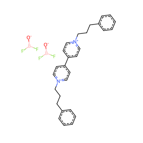 [O-]B(F)F.[O-]B(F)F.c1ccc(CCC[n+]2ccc(-c3cc[n+](CCCc4ccccc4)cc3)cc2)cc1